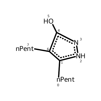 CCCCCc1[nH]nc(O)c1CCCCC